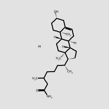 CC(CCC[C@@H](C)[C@H]1CC[C@H]2[C@@H]3CC=C4C[C@@H](O)CC[C@]4(C)[C@H]3CC[C@]12C)CC(N)=O.I